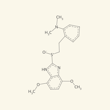 COc1ccc(OC)c2[nH]c([S+]([O-])CCc3ccccc3N(C)C)nc12